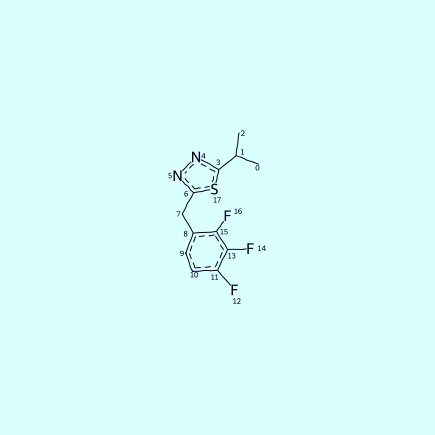 CC(C)c1nnc(Cc2ccc(F)c(F)c2F)s1